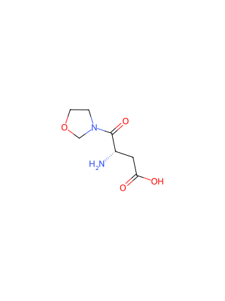 N[C@@H](CC(=O)O)C(=O)N1CCOC1